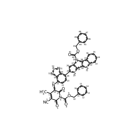 CC1=C(C#N)C(=O)N(C(=O)OCc2ccccc2)C(=O)/C1=N\c1ccc(-c2cc3c(s2)c2sc4ccccc4c2n3C(=O)OCc2ccccc2)c2nsnc12